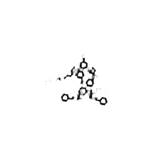 COCCCN1CCOc2ccc(CO[C@H]3CN(C(=O)OCc4ccccc4)C[C@@H](N(C)C(=O)OCc4ccccc4)[C@@H]3c3ccc(OC4CCN(c5cccc(F)c5)C4)cc3)cc21